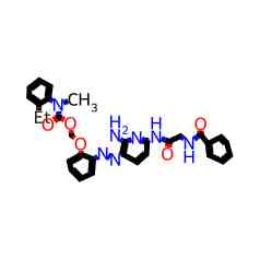 CCc1ccccc1N(C)C(=O)OCOc1ccccc1/N=N/c1ccc(NC(=O)CNC(=O)c2ccccc2)nc1N